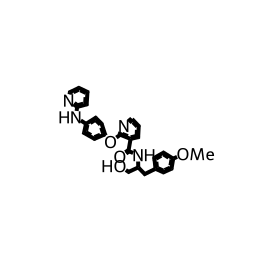 COc1ccc(CC(CO)NC(=O)c2cccnc2Oc2ccc(Nc3ccccn3)cc2)cc1